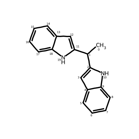 CC(c1cc2ccccc2[nH]1)c1cc2ccccc2[nH]1